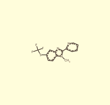 Cn1c(-c2ccccn2)nc2cc(SC(F)(F)F)ccc21